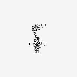 CC(COC(=O)NCCCCCC(=O)ON1C(=O)CC(S(=O)(=O)O)C1=O)O[C@@H](n1ccc(N)nc1=O)C(F)(F)CO